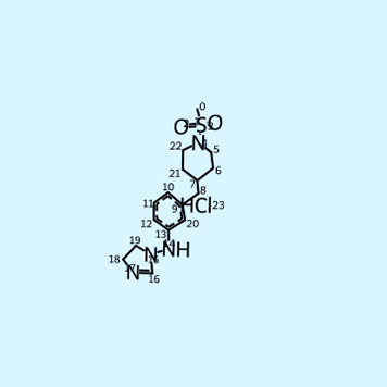 CS(=O)(=O)N1CCC(Cc2cccc(NN3C=NCC3)c2)CC1.Cl